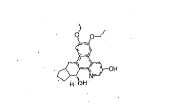 CCOc1cc2c3c(c4ncc(O)cc4c2cc1OCC)[C@@H](O)[C@H]1CCCC1C3